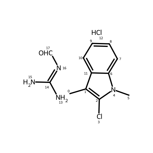 Cc1c(Cl)n(C)c2ccccc12.Cl.NC(N)=NC=O